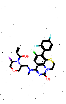 C=CC(O)N1C(I)COCC1CN(C)C1=NC(O)N2CCSc3c(-c4ccc(F)cc4F)c(Cl)cc1c32